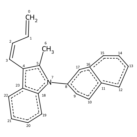 C=C/C=C\c1c(C)n(-c2ccc3ccccc3c2)c2ccccc12